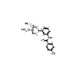 CCc1ccc(C(=O)Nc2cccc(CO[C@H](C(=O)O)[C@H](N)C(=O)O)c2)cc1